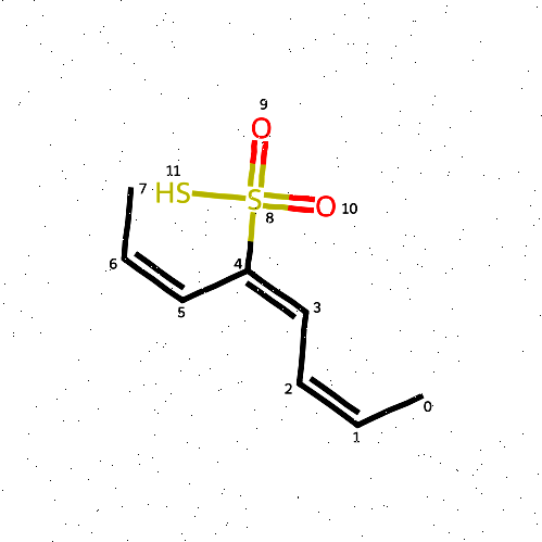 C\C=C/C=C(\C=C/C)S(=O)(=O)S